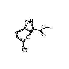 COC(=O)c1nsc2ccc(Br)cc12